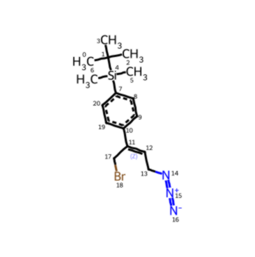 CC(C)(C)[Si](C)(C)c1ccc(/C(=C/CN=[N+]=[N-])CBr)cc1